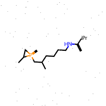 C=C(NCCCCC(C)CP1(=C)CC1C)C(C)C